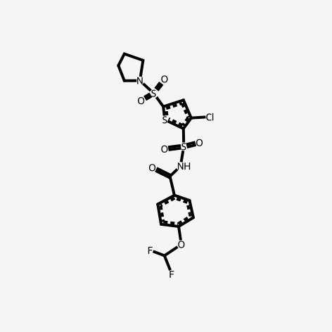 O=C(NS(=O)(=O)c1sc(S(=O)(=O)N2CCCC2)cc1Cl)c1ccc(OC(F)F)cc1